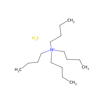 CCCC[N+](CCCC)(CCCC)CCCC.S